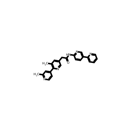 Cc1cc(-c2ncc(CC(=O)Nc3ccc(-c4ccccn4)cn3)cc2C)ccn1